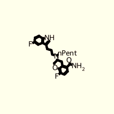 CCCCCN(CCCc1c[nH]c2ccc(F)cc12)C1COc2c(F)ccc(C(N)=O)c2C1